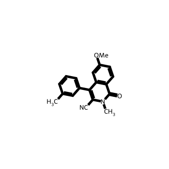 COc1ccc2c(=O)n(C)c(C#N)c(-c3cccc(C)c3)c2c1